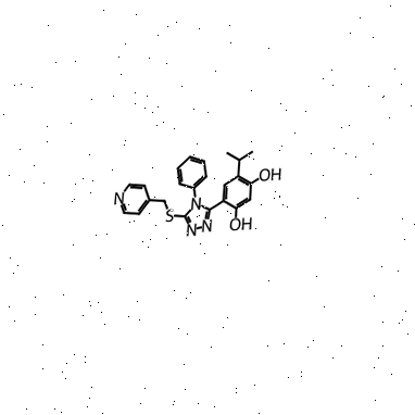 CC(C)c1cc(-c2nnc(SCc3ccncc3)n2-c2ccccc2)c(O)cc1O